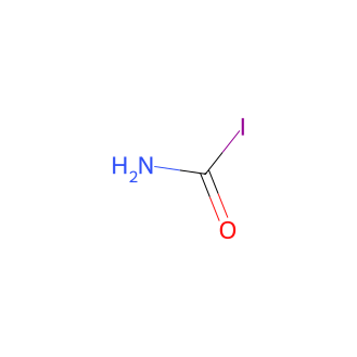 NC(=O)I